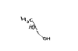 CCCCCCC(O)C=CCCCCCCCCCO